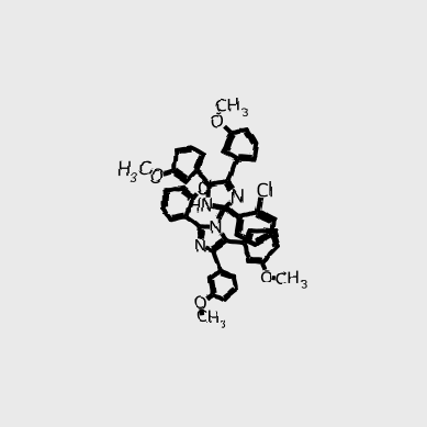 COc1cccc(C2=NC(c3ccccc3Cl)(n3c(-c4ccccc4Cl)nc(-c4cccc(OC)c4)c3-c3cccc(OC)c3)NC2c2cccc(OC)c2)c1